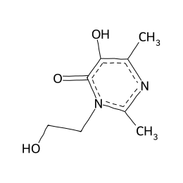 Cc1nc(C)n(CCO)c(=O)c1O